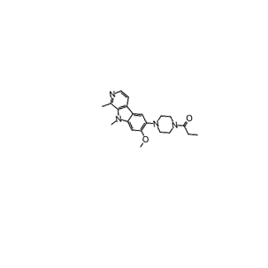 CCC(=O)N1CCN(c2cc3c4ccnc(C)c4n(C)c3cc2OC)CC1